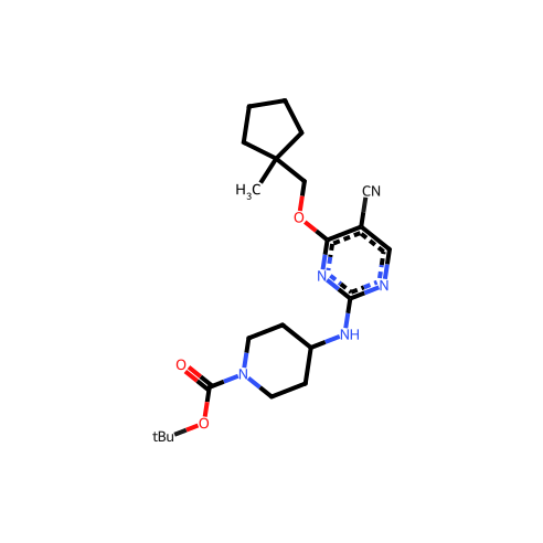 CC1(COc2nc(NC3CCN(C(=O)OC(C)(C)C)CC3)ncc2C#N)CCCC1